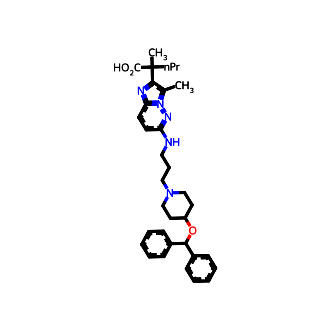 CCCC(C)(C(=O)O)c1nc2ccc(NCCCN3CCC(OC(c4ccccc4)c4ccccc4)CC3)nn2c1C